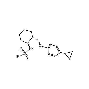 CC(C)S(=O)(=O)N[C@H]1CCCC[C@@H]1COc1ccc(C2CC2)cc1